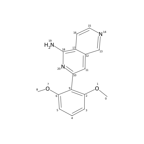 COc1cccc(OC)c1-c1cc2cnccc2c(N)n1